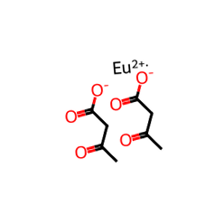 CC(=O)CC(=O)[O-].CC(=O)CC(=O)[O-].[Eu+2]